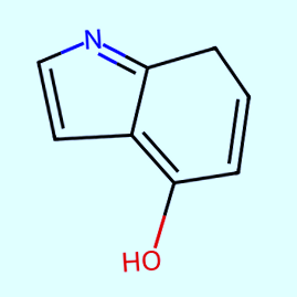 OC1=C2C=CN=C2CC=C1